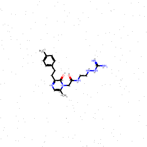 Cc1ccc(CCc2ncc(C)n(CC(=O)NCCNNC(=N)N)c2=O)cc1